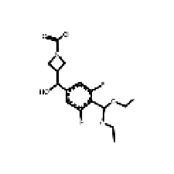 CCOC(OCC)c1c(F)cc(C(O)C2CN(C(=O)O)C2)cc1F